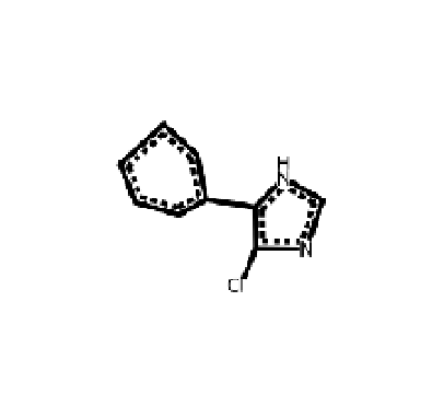 Clc1nc[nH]c1-c1ccccc1